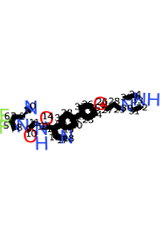 N#C[C@@H]1CC(F)(F)CN1C(=O)CNC(=O)c1ccnc2cc(-c3ccc(OCCCN4CCNCC4)cc3)ccc12